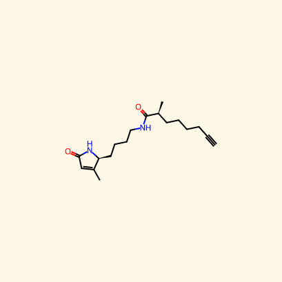 C#CCCCC[C@H](C)C(=O)NCCCC[C@@H]1NC(=O)C=C1C